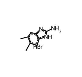 Br.Cc1cc2nc(N)[nH]c2cc1C